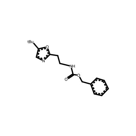 CC(C)(C)c1cnc(CCNC(=O)OCc2ccccc2)o1